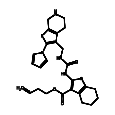 C=CCCOC(=O)c1c(NC(=O)NCc2c(-n3cccc3)sc3c2CCNC3)sc2c1CCCC2